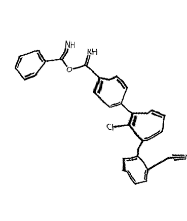 N#Cc1ccccc1-c1cccc(-c2ccc(C(=N)OC(=N)c3ccccc3)cc2)c1Cl